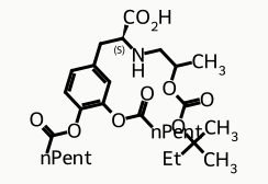 CCCCCC(=O)Oc1ccc(C[C@H](NCC(C)OC(=O)OC(C)(C)CC)C(=O)O)cc1OC(=O)CCCCC